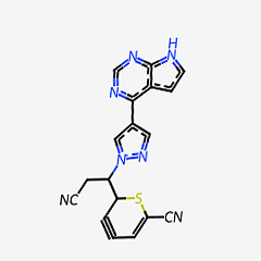 N#CCC(C1C#CC=C(C#N)S1)n1cc(-c2ncnc3[nH]ccc23)cn1